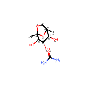 NC(N)=O.O[C@@H]1[C@@H](O)[C@@H]2OC[C@@H](O2)[C@H]1O